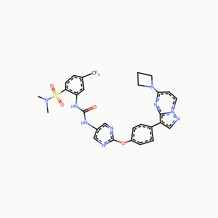 CN(C)S(=O)(=O)c1ccc(C(F)(F)F)cc1NC(=O)Nc1cnc(Oc2ccc(-c3cnn4ccc(N5CCC5)nc34)cc2)nc1